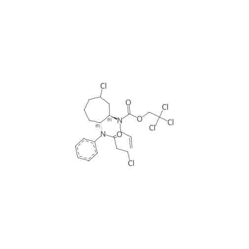 C=CCN(C(=O)OCC(Cl)(Cl)Cl)[C@@H]1CC(Cl)CCC[C@H]1N(C(=O)CCCl)c1ccccc1